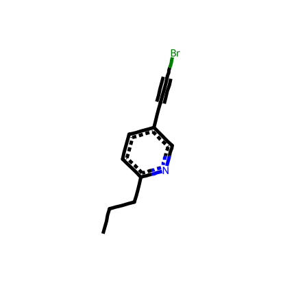 CCCc1ccc(C#CBr)cn1